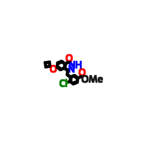 COC(=O)c1ccc(Cl)c(Cc2n[nH]c(=O)c3ccc(OC4CCC4)cc23)c1